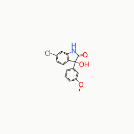 COc1cccc(C2(O)C(=O)Nc3cc(Cl)ccc32)c1